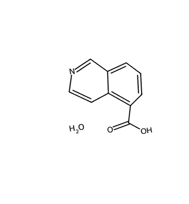 O.O=C(O)c1cccc2cnccc12